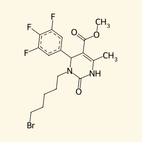 COC(=O)C1=C(C)NC(=O)N(CCCCCBr)C1c1cc(F)c(F)c(F)c1